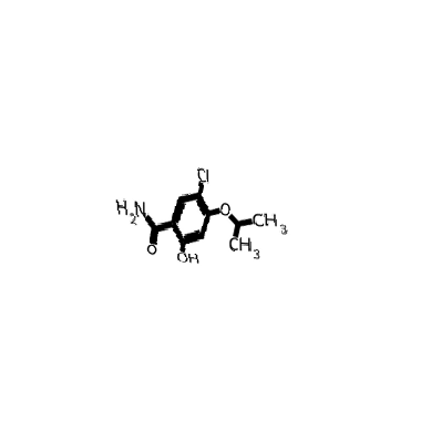 CC(C)Oc1cc(O)c(C(N)=O)cc1Cl